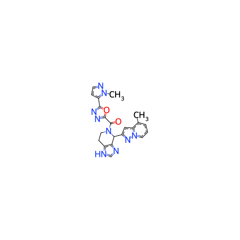 Cc1cccn2nc(C3c4nc[nH]c4CCN3C(=O)c3nnc(-c4ccnn4C)o3)cc12